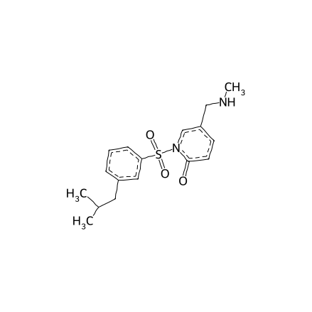 CNCc1ccc(=O)n(S(=O)(=O)c2cccc(CC(C)C)c2)c1